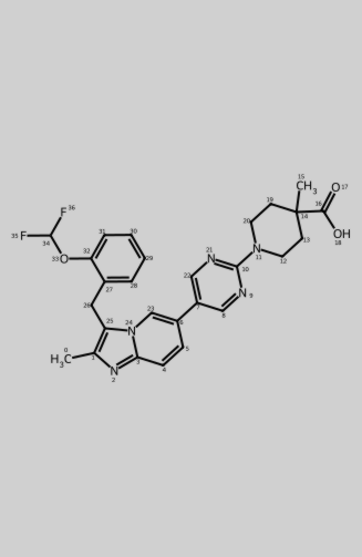 Cc1nc2ccc(-c3cnc(N4CCC(C)(C(=O)O)CC4)nc3)cn2c1Cc1ccccc1OC(F)F